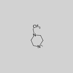 CCN1CC[N+]CC1